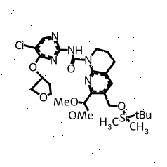 COC(OC)c1nc2c(cc1CO[Si](C)(C)C(C)(C)C)CCCN2C(=O)Nc1ncc(Cl)c(OC2CCOC2)n1